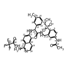 CCS(=O)(=O)c1ccc(NC(C)=O)cc1CNC(=O)C(Nc1ccc2c(N)nccc2c1)c1cccc(C)c1.O=C(O)C(F)(F)F